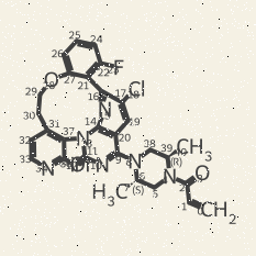 C=CC(=O)N1C[C@H](C)N(c2nc(=O)n3c4nc(c(Cl)cc24)-c2c(F)cccc2OCCc2ccnc(C(C)C)c2-3)C[C@H]1C